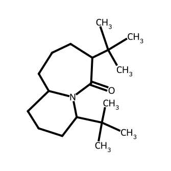 CC(C)(C)C1CCCC2CCCC(C(C)(C)C)N2C1=O